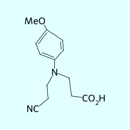 COc1ccc(N(CCC#N)CCC(=O)O)cc1